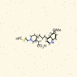 CCCSCCN1CC[C@@H](CCCc2ccnc3ccc(OC)cc23)[C@@H](CC(=O)O)C1